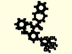 CC1(C)OB(c2ccc3c(c2)N(C(=O)C2CCc4ccccc4CC2)Cc2cccnc2N3)OC1(C)C